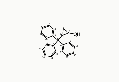 OC1CN1C(c1ccccc1)(c1ccccc1)c1ccccc1